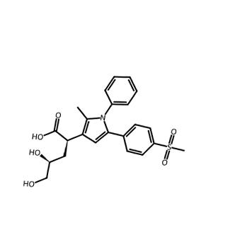 Cc1c([C@@H](C[C@H](O)CO)C(=O)O)cc(-c2ccc(S(C)(=O)=O)cc2)n1-c1ccccc1